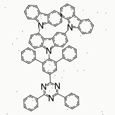 c1ccc(-c2nc(-c3ccccc3)nc(-c3cc(-c4ccccc4)c(-n4c5ccc(-n6c7ccccc7c7ccccc76)cc5c5c(-n6c7ccccc7c7ccccc76)cccc54)c(-c4ccccc4)c3)n2)cc1